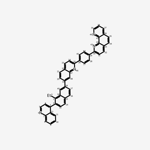 CCc1c(-c2ccnc3ccccc23)ccc2ccc(-c3ccc4ccc(-c5ccc(-c6ccc7ccc8cccnc8c7n6)cc5)nc4c3)cc12